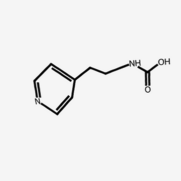 O=C(O)NCCc1ccncc1